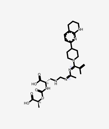 C=C(C)/C(=N\C(C)=N/CNC[C@H](NC(=O)O[C@@H](C)C(=O)O)C(=O)O)N1CCC(c2ccc3c(n2)NCCC3)CC1